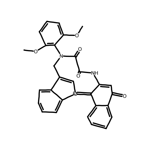 COc1cccc(OC)c1N(Cc1coc2ccccc12)C(=O)C(=O)NC1=CC(=O)c2ccccc2C1=O